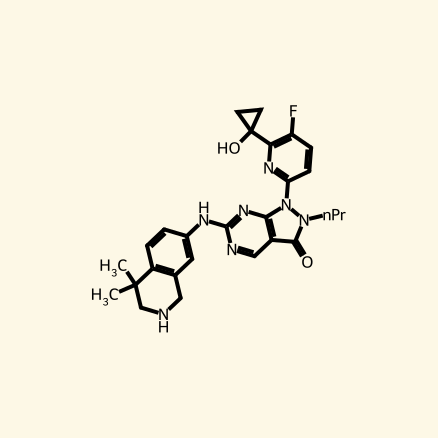 CCCn1c(=O)c2cnc(Nc3ccc4c(c3)CNCC4(C)C)nc2n1-c1ccc(F)c(C2(O)CC2)n1